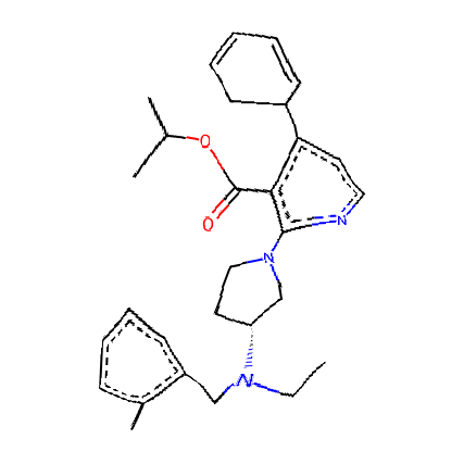 CCN(Cc1ccccc1C)[C@@H]1CCN(c2nccc(C3C=CC=CC3)c2C(=O)OC(C)C)C1